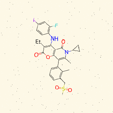 CCc1c(Nc2ccc(I)cc2F)c2c(=O)n(C3CC3)c(C)c(-c3cccc(CS(C)(=O)=O)c3C)c2oc1=O